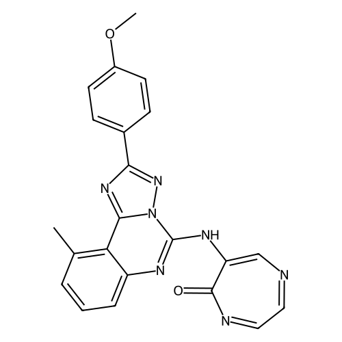 COc1ccc(-c2nc3c4c(C)cccc4nc(Nc4cnccnc4=O)n3n2)cc1